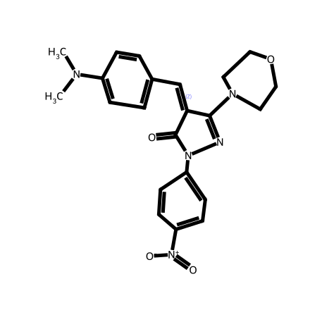 CN(C)c1ccc(/C=C2\C(=O)N(c3ccc([N+](=O)[O-])cc3)N=C2N2CCOCC2)cc1